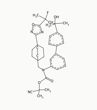 CC(C)(C#N)OC(=O)N(CC12CCC(c3noc(C(C)(C)F)n3)(CC1)CC2)c1cccc(-c2ccc(C(C)(C)O)cc2)c1